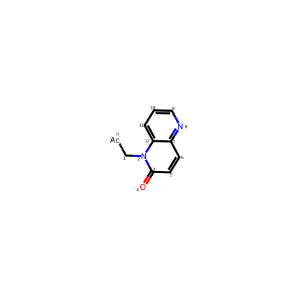 CC(=O)Cn1c(=O)ccc2ncccc21